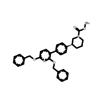 CC(C)(C)OC(=O)N1CCC[C@@H](c2ccc(-c3ccc(OCc4ccccc4)nc3OCc3ccccc3)cc2)C1